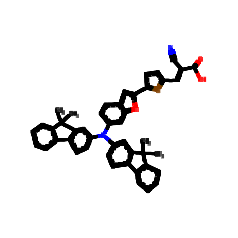 CC1(C)c2ccccc2-c2ccc(N(c3ccc4c(c3)C(C)(C)c3ccccc3-4)c3ccc4cc(-c5ccc(/C=C(\C#N)C(=O)O)s5)oc4c3)cc21